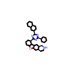 C1=Cc2cc3oc4cccc(-c5nc(-c6ccccc6)nc(-c6ccc7ccccc7c6)n5)c4c3cc2CN1